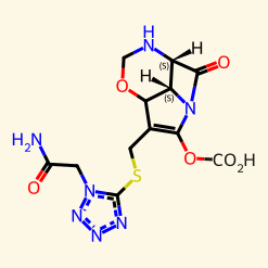 NC(=O)Cn1nnnc1SCC1=C(OC(=O)O)N2C(=O)[C@H]3NCOC1[C@H]32